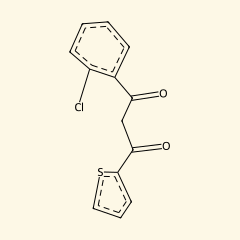 O=C(CC(=O)c1ccccc1Cl)c1cccs1